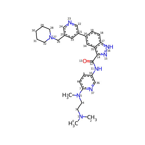 CN(C)CCN(C)c1ccc(NC(=O)c2n[nH]c3ccc(-c4cncc(CN5CCCCC5)c4)cc23)cn1